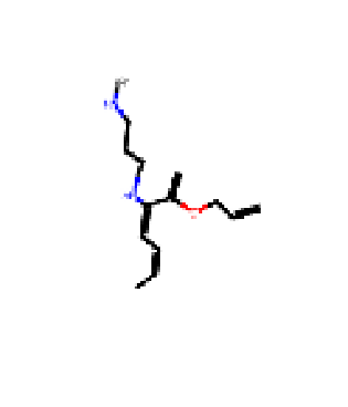 C=CCOC(=C)/C(=C\C=C/C)NCCCNC(C)C